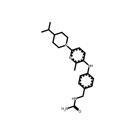 Cc1nc(N2CCC(C(C)C)CC2)ccc1Nc1ccc(CNC(N)=O)cc1